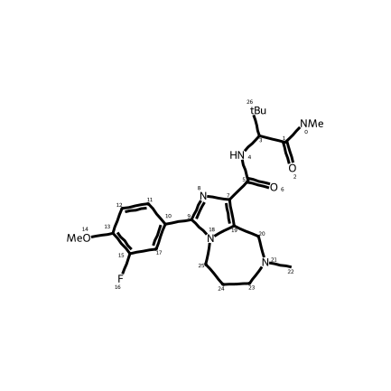 CNC(=O)C(NC(=O)c1nc(-c2ccc(OC)c(F)c2)n2c1CN(C)CCC2)C(C)(C)C